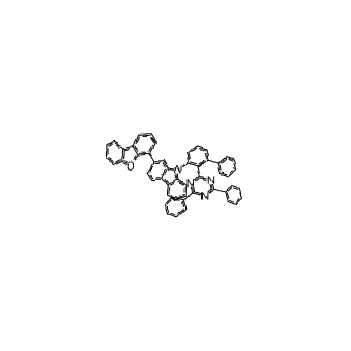 c1ccc(-c2nc(-c3ccccc3)nc(-c3c(-c4ccccc4)cccc3-n3c4ccccc4c4ccc(-c5cccc6c5oc5ccccc56)cc43)n2)cc1